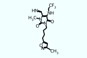 Cc1cc(CCCCn2c(=O)c(NCC(F)(F)F)c(C=N)n(C)c2=O)on1